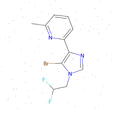 Cc1cccc(-c2ncn(CC(F)F)c2Br)n1